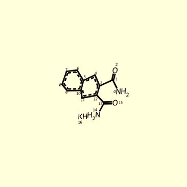 NC(=O)c1cc2ccccc2cc1C(N)=O.[KH]